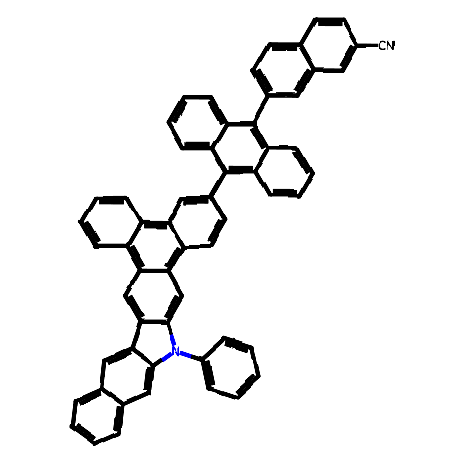 N#Cc1ccc2ccc(-c3c4ccccc4c(-c4ccc5c(c4)c4ccccc4c4cc6c7cc8ccccc8cc7n(-c7ccccc7)c6cc54)c4ccccc34)cc2c1